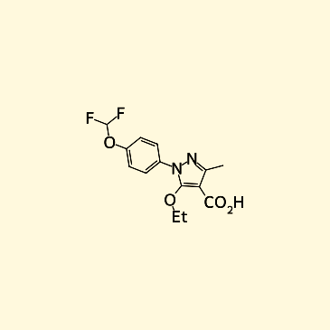 CCOc1c(C(=O)O)c(C)nn1-c1ccc(OC(F)F)cc1